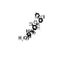 COc1ccc(NC(=O)c2ccc(C(=O)Nc3ccc(Cl)c(-c4ccccn4)c3)c(Cl)c2)cn1